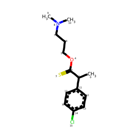 CC(C(=S)OCCCN(C)C)c1ccc(Cl)cc1